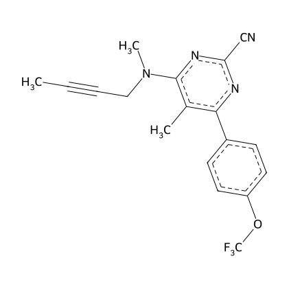 CC#CCN(C)c1nc(C#N)nc(-c2ccc(OC(F)(F)F)cc2)c1C